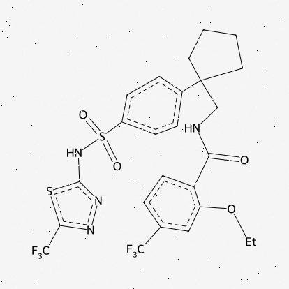 CCOc1cc(C(F)(F)F)ccc1C(=O)NCC1(c2ccc(S(=O)(=O)Nc3nnc(C(F)(F)F)s3)cc2)CCCC1